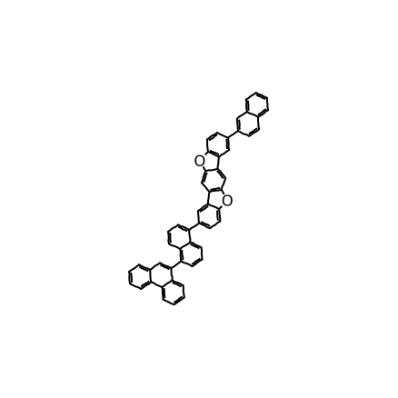 c1ccc2cc(-c3ccc4oc5cc6c(cc5c4c3)oc3ccc(-c4cccc5c(-c7cc8ccccc8c8ccccc78)cccc45)cc36)ccc2c1